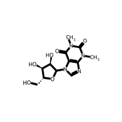 Cn1c(=O)c2c(ncn2C2O[C@H](CO)[C@@H](O)[C@H]2O)n(C)c1=O